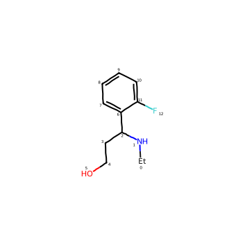 CCNC(CCO)c1ccccc1F